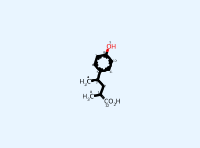 CC(CC(C)c1ccc(O)cc1)C(=O)O